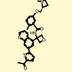 CC(=O)c1ccc(-c2cc(C3(NC(=O)c4cc(OC[C@@H]5CCN5C)ccc4C)COC3)c3cccnc3c2)s1